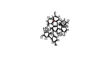 Cc1ccc2c(c1)c1cc(C)ccc1n2-c1c(-c2ccccc2C)c(C(C)(C)C)c(-n2c3ccc(C)cc3c3cc(C)ccc32)c(C(C)(C)C)c1-c1ccccc1C(F)(F)F